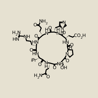 CC(C)[C@@H]1NC(=O)[C@H](CCCNC(=N)N)NC(=O)[C@H](CCC(N)=O)NC(=O)[C@H](Cc2cnc[nH]2)NC(=O)[C@H](CCC(=O)O)NC(=O)[C@@H]2CCCN2C(=O)[C@H](CO)NC(=O)[C@H](CCC(N)=O)NC1=O